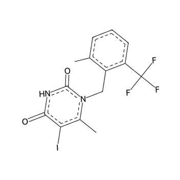 Cc1cccc(C(F)(F)F)c1Cn1c(C)c(I)c(=O)[nH]c1=O